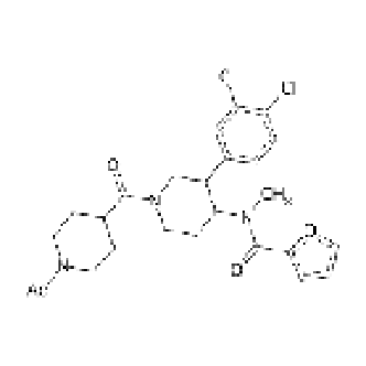 CC(=O)N1CCC(C(=O)N2CCC(N(C)C(=O)c3ccco3)C(c3ccc(Cl)c(Cl)c3)C2)CC1